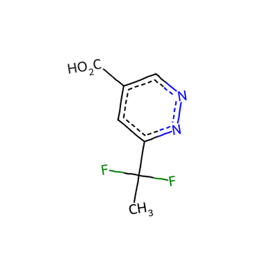 CC(F)(F)c1cc(C(=O)O)cnn1